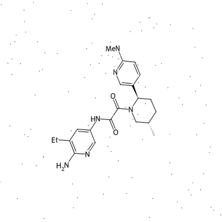 CCc1cc(NC(=O)C(=O)N2C[C@@H](C)CC[C@@H]2c2ccc(NC)nc2)cnc1N